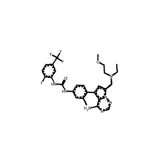 CCN(CCOC)Cc1cc(-c2ccc(NC(=O)Nc3cc(C(F)(F)F)ccc3F)cc2C)c2c(N)ncnn12